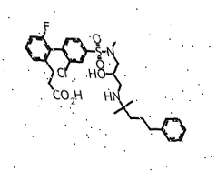 CN(CC(O)CNC(C)(C)CCCc1ccccc1)S(=O)(=O)c1ccc(-c2c(F)cccc2CCC(=O)O)c(Cl)c1